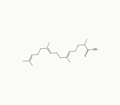 CC(C)=CCCC(C)=CCCC(C)=CCCC(C)C(O)=S